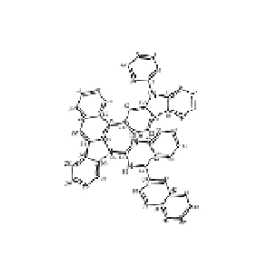 c1ccc(-n2c3ccccc3c3ccc(-c4c5ccccc5cc5c6ccccc6n(-c6nc(-c7ccc8ccccc8c7)c7ccccc7n6)c45)cc32)cc1